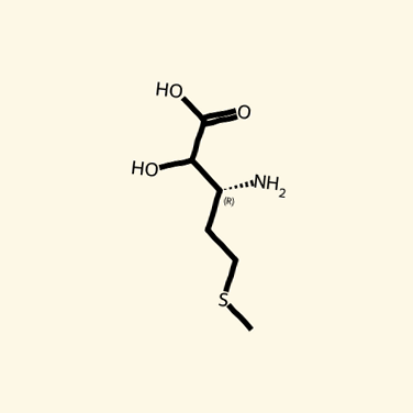 CSCC[C@@H](N)C(O)C(=O)O